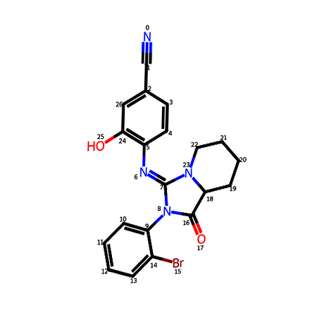 N#Cc1ccc(N=C2N(c3ccccc3Br)C(=O)C3CCCCN23)c(O)c1